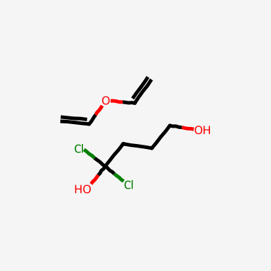 C=COC=C.OCCCC(O)(Cl)Cl